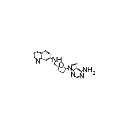 Nc1ncnc2c1ccn2[C@H]1CC[C@@H](CNc2ccc3cccnc3c2)O1